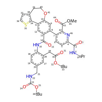 CCCNC(=O)c1ccc(-c2cc3c(cc2C(=O)Nc2ccc(CNC(=O)OC(C)(C)C)cc2CC(=O)OC(C)(C)C)-c2sccc2CCO3)c(C(=O)OC)n1